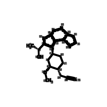 CO[C@H]1C[C@@H](n2c([C@@H](C)O)nc3cnc4ccsc4c32)CC[C@@H]1CC#N